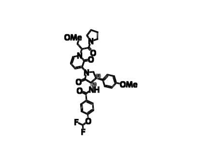 COCC(C(=O)N1CCCC1)n1cccc(N2C[C@@H](c3ccc(OC)cc3)[C@H](NC(=O)c3ccc(OC(F)F)cc3)C2=O)c1=O